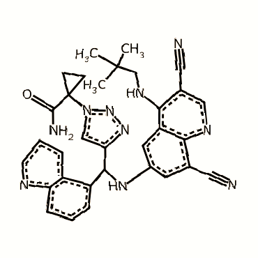 CC(C)(C)CNc1c(C#N)cnc2c(C#N)cc(NC(c3cn(C4(C(N)=O)CC4)nn3)c3cccc4ncccc34)cc12